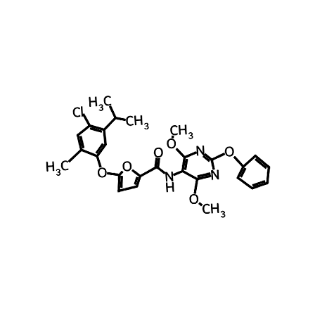 COc1nc(Oc2ccccc2)nc(OC)c1NC(=O)c1ccc(Oc2cc(C(C)C)c(Cl)cc2C)o1